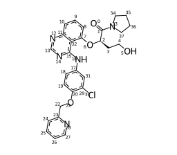 O=C([C@@H](CCO)Oc1cccc2ncnc(Nc3ccc(OCc4ccccn4)c(Cl)c3)c12)N1CCCC1